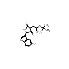 CC(C)(C)OC(=O)CN1C(=O)NC(c2c[nH]c3ccc(F)cc23)C1=O